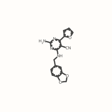 N#Cc1c(NCc2ccc3c(c2)OCO3)nc(N)nc1-c1ccco1